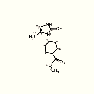 COC(=O)[C@H]1CC[C@H](n2c(C)n[nH]c2=O)CC1